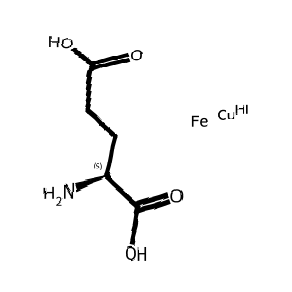 I.N[C@@H](CCC(=O)O)C(=O)O.[Cu].[Fe]